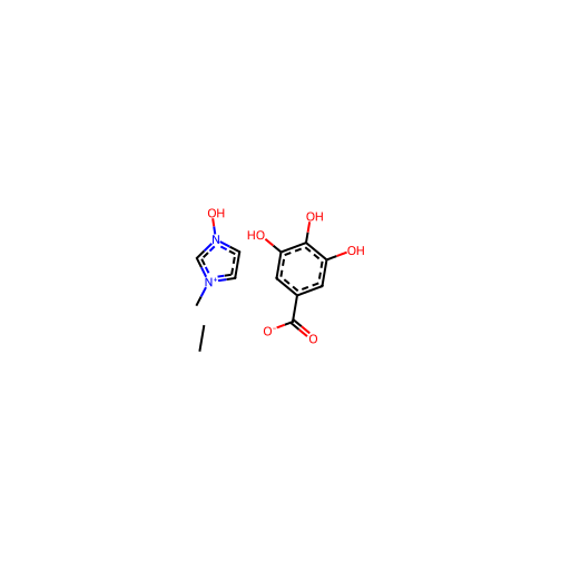 CC.C[n+]1ccn(O)c1.O=C([O-])c1cc(O)c(O)c(O)c1